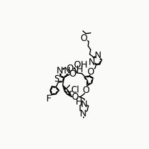 Cc1c2ccc(c1Cl)O[C@H](CN1CCN(C)CC1)COc1ccc(OCc3ccnc(CCCCOC(C)C)n3)c(c1)C[C@H](C(=O)O)Oc1ncnc3sc(-c4ccc(F)cc4)c-2c13